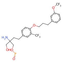 NC(CO)(CCc1ccc(OCCCc2cccc(OC(F)(F)F)c2)c(C(F)(F)F)c1)COP=O